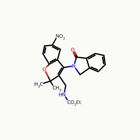 CCOC(=O)NCC1=C(N2Cc3ccccc3C2=O)c2cc([N+](=O)[O-])ccc2OC1(C)C